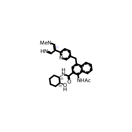 CN/C=C(\C=N)c1ccc(Cc2cc(C(=O)N[C@H]3CCCC[C@@H]3O)c(NC(C)=O)c3ccccc23)cn1